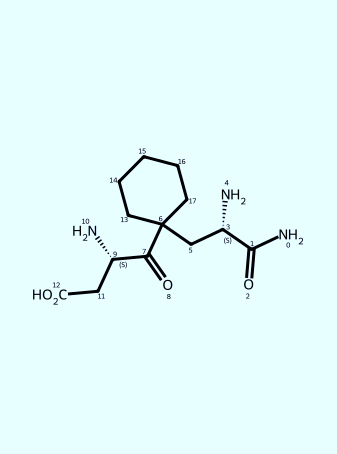 NC(=O)[C@@H](N)CC1(C(=O)[C@@H](N)CC(=O)O)CCCCC1